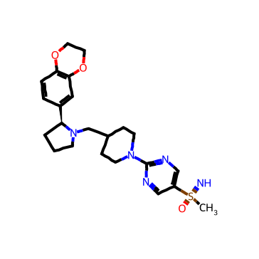 CS(=N)(=O)c1cnc(N2CCC(CN3CCC[C@H]3c3ccc4c(c3)OCCO4)CC2)nc1